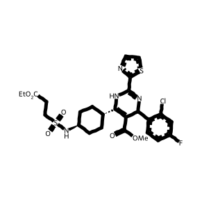 CCOC(=O)CCS(=O)(=O)N[C@H]1CC[C@H](C2=C(C(=O)OC)C(c3ccc(F)cc3Cl)N=C(c3nccs3)N2)CC1